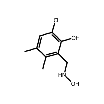 Cc1cc(Cl)c(O)c(CNO)c1C